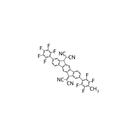 Cc1c(F)c(F)c(-c2ccc3c(c2)C(=C(C#N)C#N)c2cc4c(cc2-3)C(C(C#N)C#N)c2cc(-c3c(F)c(F)c(F)c(F)c3F)ccc2-4)c(F)c1F